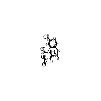 CN(Cc1ccc(Cl)nc1)C(=C[N+](=O)[O-])NC=O